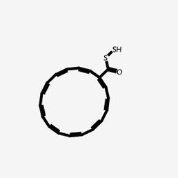 O=C(SS)c1ccccccccccccccccc1